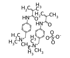 C=C(C)C(=O)Nc1ccc(C[N+](C)(C)C)cc1.C=C(C)C(=O)Nc1ccc(C[N+](C)(C)C)cc1.O=S(=O)([O-])[O-]